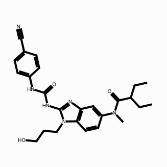 CCC(CC)C(=O)N(C)c1ccc2c(c1)nc(NC(=O)Nc1ccc(C#N)cc1)n2CCCO